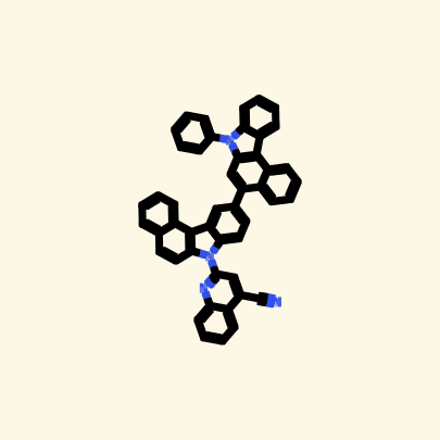 N#Cc1cc(-n2c3ccc(-c4cc5c(c6ccccc46)c4ccccc4n5-c4ccccc4)cc3c3c4ccccc4ccc32)nc2ccccc12